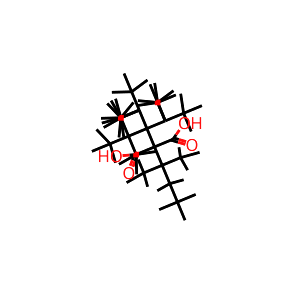 CC(C)(C)C(C)(C)C(C(C)(C)C)(C(C)(C)C)C(C(=O)O)(C(=O)O)C(C(C(C)(C)C)(C(C)(C)C)C(C)(C)C)(C(C(C)(C)C)(C(C)(C)C)C(C)(C)C)C(C(C)(C)C)(C(C)(C)C)C(C)(C)C